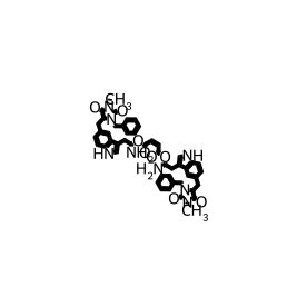 CN1C(=O)C(Cc2ccc3[nH]cc(CC(N)OC(=O)/C=C\C(=O)OC(N)Cc4c[nH]c5ccc(CC6C(=O)N(C)C(=O)N6Cc6ccccc6)cc45)c3c2)N(Cc2ccccc2)C1=O